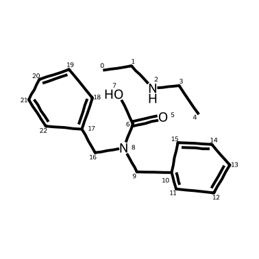 CCNCC.O=C(O)N(Cc1ccccc1)Cc1ccccc1